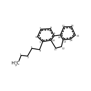 CCCCCc1cccc2c1CCc1ccccc1-2